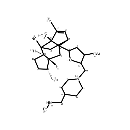 CCCCC1CC(C23C[C@@H]4[C@H](C)CC[C@H]4C4(C#N)CC2C=C(C(C)C)C34C(=O)O)OC1CN1CCC(CNCC)CC1